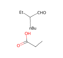 CCC(=O)O.CCCCC(C=O)CC